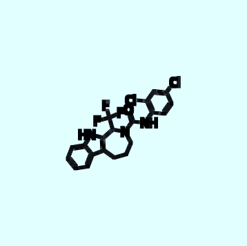 O=C(Nc1ccc(Cl)cc1Cl)N1CCCc2c([nH]c3ccccc23)C1C(F)(F)F